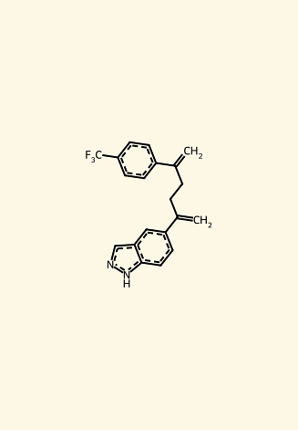 C=C(CCC(=C)c1ccc2[nH]ncc2c1)c1ccc(C(F)(F)F)cc1